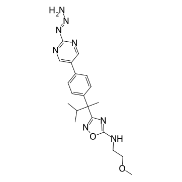 COCCNc1nc(C(C)(c2ccc(-c3cnc(N=NN)nc3)cc2)C(C)C)no1